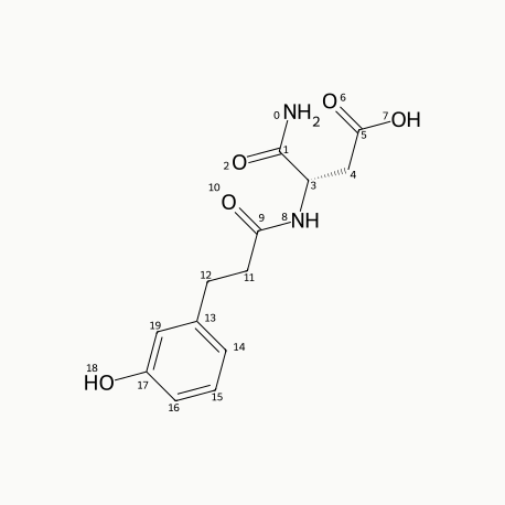 NC(=O)[C@H](CC(=O)O)NC(=O)CCc1cccc(O)c1